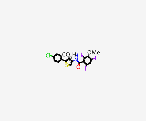 COc1c(I)cc(I)c(C(=O)Nc2csc(-c3ccc(Cl)cc3)c2C(=O)O)c1I